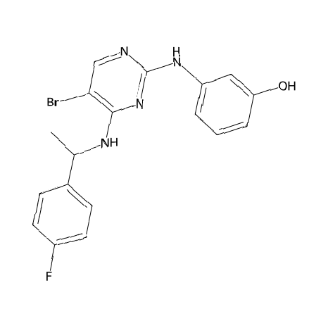 CC(Nc1nc(Nc2cccc(O)c2)ncc1Br)c1ccc(F)cc1